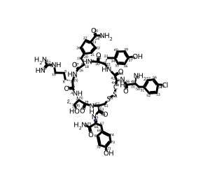 C[C@@H](O)[C@@H]1NC(=O)[C@H](CCCNC(=N)N)NC(=O)[C@@H](Cc2ccc(C(N)=O)cc2)NC(=O)[C@H](Cc2ccc(O)cc2)NC(=O)[C@H](NC(=O)[C@@H](N)Cc2ccc(Cl)cc2)CSSC[C@@H](C(=O)/N=C(\Cc2ccc(O)cc2)C(N)=O)NC1=O